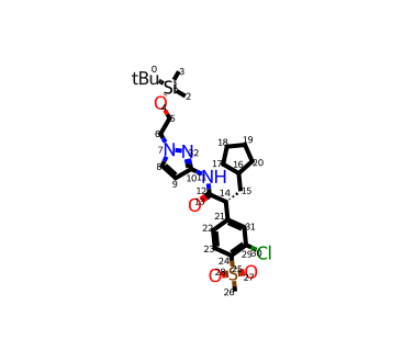 CC(C)(C)[Si](C)(C)OCCn1ccc(NC(=O)[C@H](CC2CCCC2)c2ccc(S(C)(=O)=O)c(Cl)c2)n1